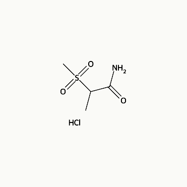 CC(C(N)=O)S(C)(=O)=O.Cl